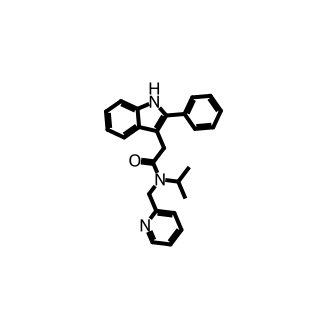 CC(C)N(Cc1ccccn1)C(=O)Cc1c(-c2ccccc2)[nH]c2ccccc12